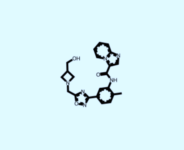 Cc1ccc(-c2noc(CN3CC(CO)C3)n2)cc1NC(=O)c1cnc2ccccn12